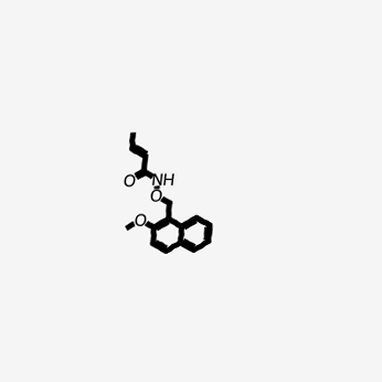 C/C=C/C(=O)NOCc1c(OC)ccc2ccccc12